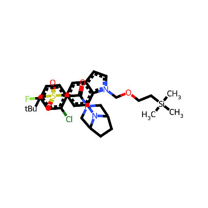 CC(C)(C)CS(=O)(=O)c1cc(N2C3CCC2CN(C(=O)c2ccc(F)cc2Cl)C3)c2c(ccn2COCC[Si](C)(C)C)c1